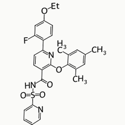 CCOc1ccc(-c2ccc(C(=O)NS(=O)(=O)c3ccccn3)c(Oc3c(C)cc(C)cc3C)n2)c(F)c1